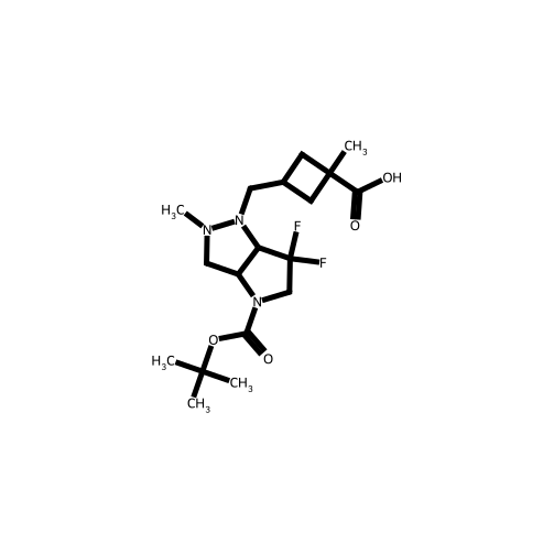 CN1CC2C(N1CC1CC(C)(C(=O)O)C1)C(F)(F)CN2C(=O)OC(C)(C)C